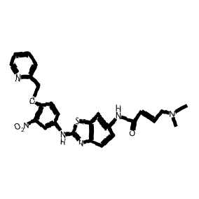 CN(C)C/C=C/C(=O)Nc1ccc2nc(Nc3ccc(OCc4ccccn4)c([N+](=O)[O-])c3)sc2c1